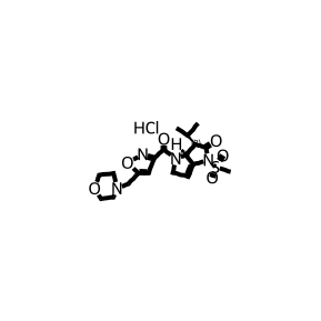 CC(C)[C@H]1C(=O)N(S(C)(=O)=O)C2=CCN(C(=O)c3cc(CN4CCOCC4)on3)[C@@H]21.Cl